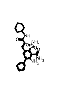 NC(=O)c1c(N)c(-c2ccccc2)cc(C=CC(=O)NC2CCCCC2)c1S(N)(=O)=O